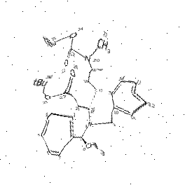 C[C@@H](c1ccccc1)N(Cc1ccccc1)[C@@H](CCCN(C)C(=O)OC(C)(C)C)CC(=O)OC(C)(C)C